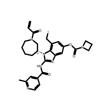 C=CC(=O)N1CCCC[C@@H](n2c(NC(=O)c3ccnc(C)c3)nc3cc(OC(=O)N4CCC4)cc(CI)c32)C1